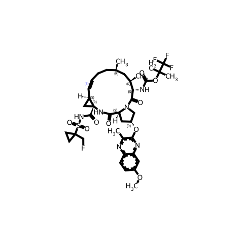 COc1ccc2nc(C)c(O[C@@H]3C[C@H]4C(=O)N[C@]5(C(=O)NS(=O)(=O)C6(CF)CC6)C[C@H]5/C=C\CC[C@@H](C)C[C@@H](C)[C@H](NC(=O)OC(C)(C)C(F)(F)F)C(=O)N4C3)nc2c1